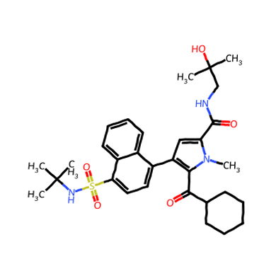 Cn1c(C(=O)NCC(C)(C)O)cc(-c2ccc(S(=O)(=O)NC(C)(C)C)c3ccccc23)c1C(=O)C1CCCCC1